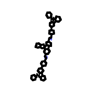 C(=C\c1ccc2c(c1)C1(Cc3ccccc3C1)c1cc(/C=C/c3ccc(-c4ccc5c(c4)c4ccccc4n5-c4ccccc4)cc3)ccc1-2)/c1ccc(-c2ccc3c(c2)c2ccccc2n3-c2ccccc2)cc1